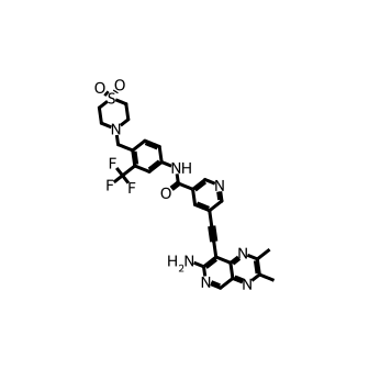 Cc1nc2cnc(N)c(C#Cc3cncc(C(=O)Nc4ccc(CN5CCS(=O)(=O)CC5)c(C(F)(F)F)c4)c3)c2nc1C